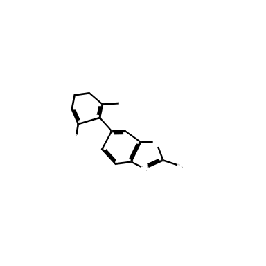 CC1=C(c2ccc3nc(N)sc3c2)C(F)=CCC1